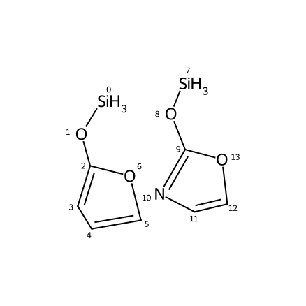 [SiH3]Oc1ccco1.[SiH3]Oc1ncco1